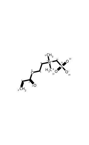 C=CC(=O)OCC[N+](C)(C)CS(=O)(=O)[O-]